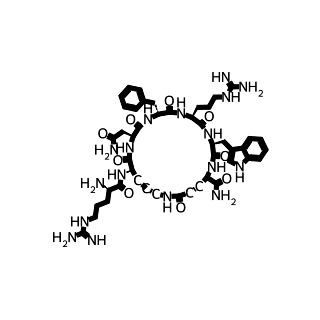 N=C(N)NCCC[C@@H]1NC(=O)[C@@H](Cc2ccccc2)NC(=O)[C@H](CC(N)=O)NC(=O)[C@@H](NC(=O)[C@@H](N)CCCNC(=N)N)CCCNC(=O)CCC(C(N)=O)NC(=O)[C@H](Cc2c[nH]c3ccccc23)NC1=O